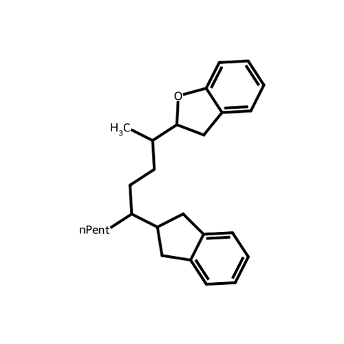 CCCCCC(CCC(C)C1Cc2ccccc2O1)C1Cc2ccccc2C1